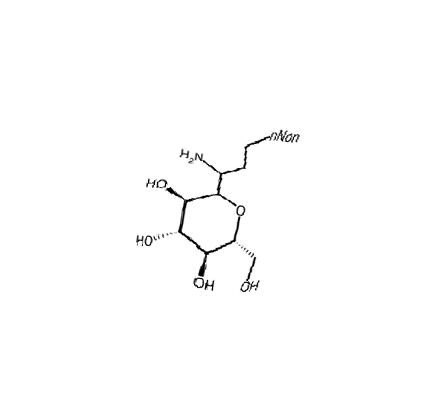 CCCCCCCCCCCC(N)C1O[C@H](CO)[C@@H](O)[C@H](O)[C@H]1O